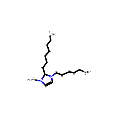 CCCCCCCCCCCCCCCCC1N(CCCCCCCC)C=CN1CCCCCCCCCCCCCCC